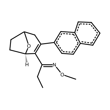 CCC(=NOC)C1=C(c2ccc3ccccc3c2)CC2CC[C@H]1O2